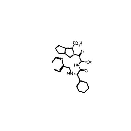 C/C=N\C(=C/C)CN[C@H](C(=O)NC(C(=O)N1CC2CCCC2[C@H]1C(=O)O)C(C)(C)C)C1CCCCC1